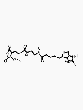 CC1=C(CCC(=O)NCCNC(=O)CCCCC2SCC3NC(=O)NC32)C(=O)OC1=O